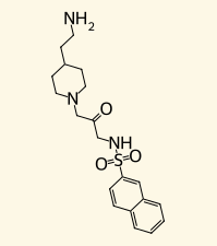 NCCC1CCN(CC(=O)CNS(=O)(=O)c2ccc3ccccc3c2)CC1